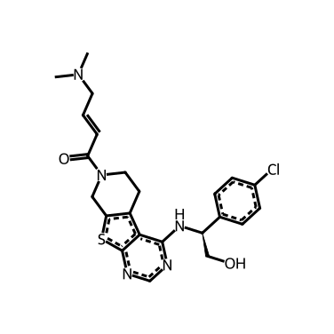 CN(C)C/C=C/C(=O)N1CCc2c(sc3ncnc(N[C@H](CO)c4ccc(Cl)cc4)c23)C1